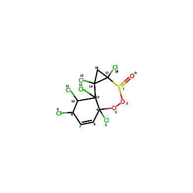 O=S1OOC2(Cl)C=CC(Cl)C(Cl)C2(Cl)C2(Cl)CC12Cl